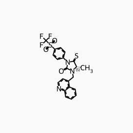 C[C@H]1C(=S)N(c2ccc(S(=O)(=O)C(F)(F)F)cc2)C(=O)N1Cc1ccnc2ccccc12